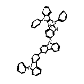 c1ccc(-n2c3ccccc3c3cc(-c4ccc5c(c4)c4ccccc4n5-c4ccc5c(c4)nc4n(-c6ccccc6)c6c7ccccc7n(-c7ccccc7)c6n54)ccc32)cc1